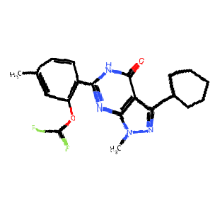 Cc1ccc(-c2nc3c(c(C4CCCCC4)nn3C)c(=O)[nH]2)c(OC(F)F)c1